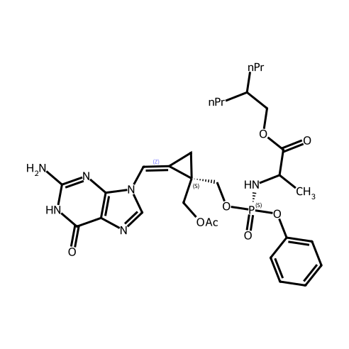 CCCC(CCC)COC(=O)C(C)N[P@](=O)(OC[C@@]1(COC(C)=O)C/C1=C/n1cnc2c(=O)[nH]c(N)nc21)Oc1ccccc1